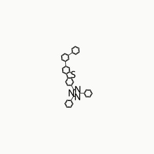 c1ccc(-c2cccc(-c3ccc4c(c3)sc3cc(-c5nc(-c6ccccc6)nc(-c6ccccc6)n5)ccc34)c2)cc1